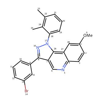 COc1ccc2ncc3c(-c4cccc(Br)c4)nn(-c4cccc(C)c4C)c3c2c1